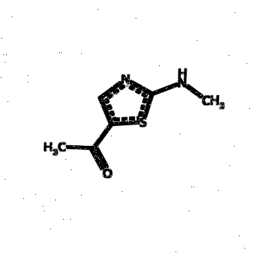 CNc1ncc(C(C)=O)s1